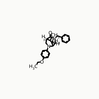 CCOc1ccc(N2C[C@H]3C(=O)N(Cc4ccccc4)CC2[C@@H](C)C3C)cc1